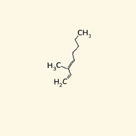 C=C/C(C)=C/CCCC